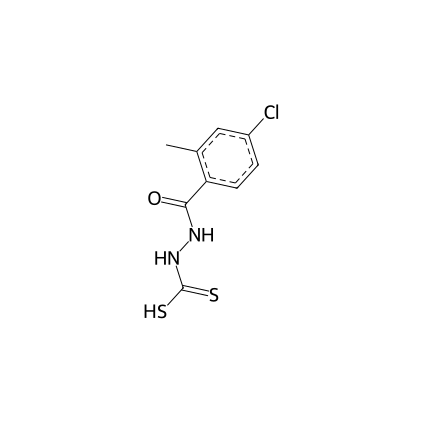 Cc1cc(Cl)ccc1C(=O)NNC(=S)S